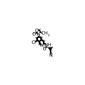 C[C@H]1COC(=O)N1c1cc(Cl)c2cnc(NC(=O)[C@@H]3CC3C#N)cc2c1